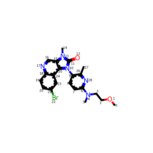 COCCN(C)c1ccc(-n2c(=O)n(C)c3cnc4ccc(Br)cc4c32)c(C)n1